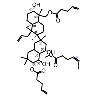 C=CCCC(=O)OC[C@]1(C)C2CC[C@@](C)([C@@]3(C)CC4CC(C)(C)[C@@H](OC(=O)CCC=C)[C@H](O)[C@]4(COC(=O)CC/C=C\I)[C@H](O)C3)C3(CC=C)C[C@]23CC[C@@H]1O